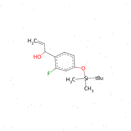 C=CC(O)c1ccc(O[Si](C)(C)C(C)(C)C)cc1F